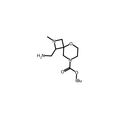 CN1CC2(CN(C(=O)OC(C)(C)C)CCO2)C1CN